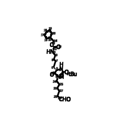 CC(C)(C)OC(=O)N[C@@H](CCCCNC(=O)OCc1ccccc1)C(=O)NCCCCCC=O